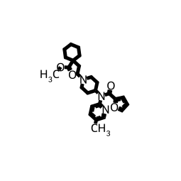 COC(=O)C1(CCN2CCC(N(C(=O)c3ccco3)c3ccc(C)cn3)CC2)CCCCC1